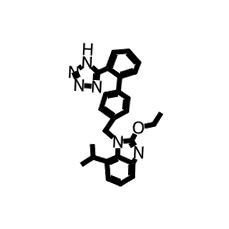 CCOc1nc2cccc(C(C)C)c2n1Cc1ccc(-c2ccccc2-c2nnn[nH]2)cc1